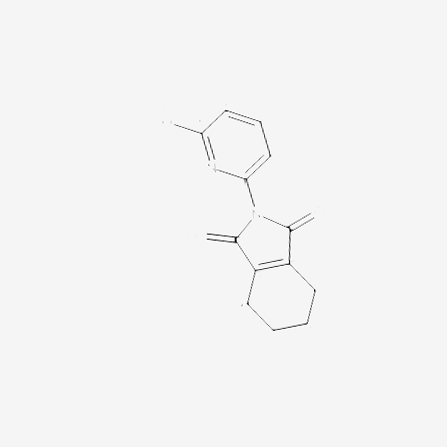 O=C1C2=C(CCCC2)C(=O)N1c1cccc(O)n1